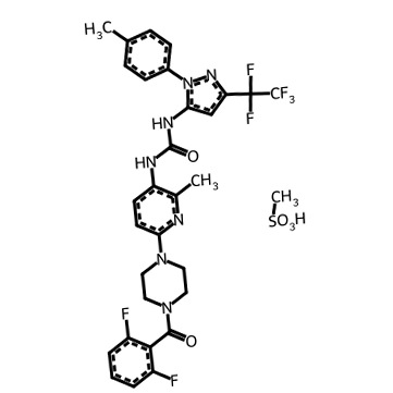 CS(=O)(=O)O.Cc1ccc(-n2nc(C(F)(F)C(F)(F)F)cc2NC(=O)Nc2ccc(N3CCN(C(=O)c4c(F)cccc4F)CC3)nc2C)cc1